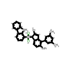 CCCc1ccc2c(c1-c1cc(C)cc(C)c1)C=C(CC)[CH]2[Zr]([Cl])([Cl])[c]1cccc2c1[SiH2]c1ccccc1-2